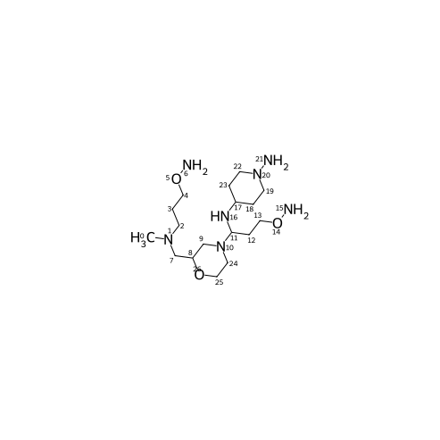 CN(CCCON)CC1CN(C(CCON)NC2CCN(N)CC2)CCO1